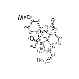 COc1ccc(OS(=O)(=O)c2c(C)n(CC(=O)O)c3cccc(NC[SH](=O)=O)c23)cc1